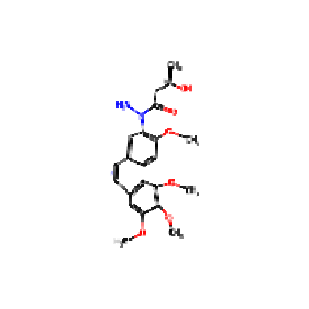 COc1ccc(/C=C\c2cc(OC)c(OC)c(OC)c2)cc1N(N)C(=O)C[C@@H](C)O